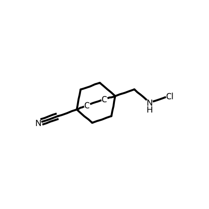 N#CC12CCC(CNCl)(CC1)CC2